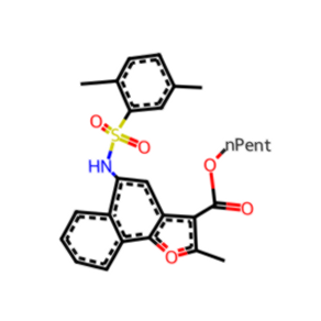 CCCCCOC(=O)c1c(C)oc2c1cc(NS(=O)(=O)c1cc(C)ccc1C)c1ccccc12